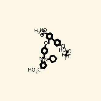 NS(=O)(=O)c1ccc(-c2ccc(Cl)cc2)c(COc2ccc(-c3nc4cc(C(=O)O)ccc4n3C3CCCCC3)cc2)c1.O=C(O)C(F)(F)F